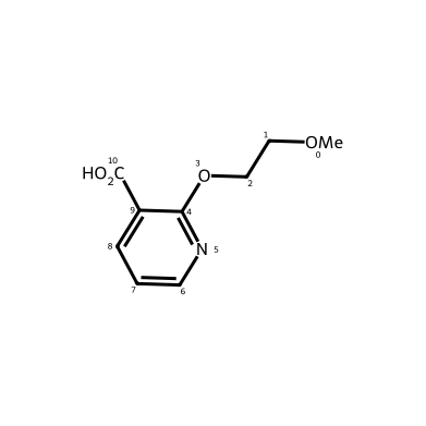 COCCOc1ncccc1C(=O)O